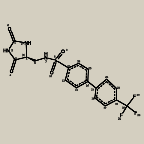 O=C1NC(=O)[C@H](CNS(=O)(=O)c2ccc(-c3ccc(C(F)(F)F)cc3)cc2)N1